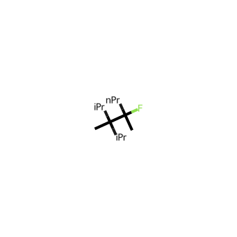 CCCC(C)(F)C(C)(C(C)C)C(C)C